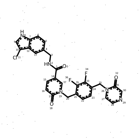 O=C(NCc1ccc2[nH]cc(Cl)c2c1)c1ccc(=O)n(Cc2ccc(Cn3ccncc3=O)c(F)c2F)c1